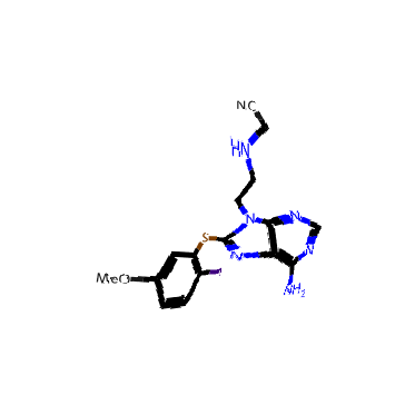 COc1ccc(I)c(Sc2nc3c(N)ncnc3n2CCNCC#N)c1